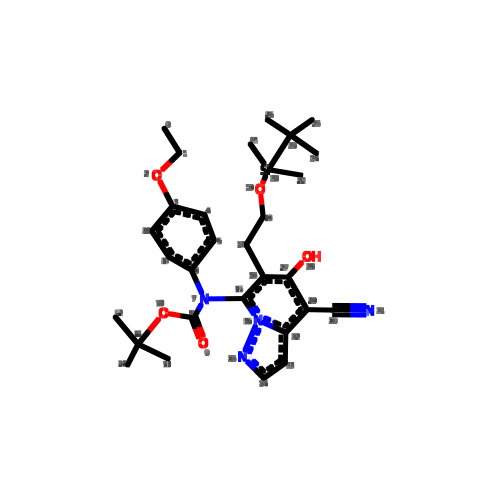 CCOc1ccc(N(C(=O)OC(C)(C)C)c2c(CCO[Si](C)(C)C(C)(C)C)c(O)c(C#N)c3ccnn23)cc1